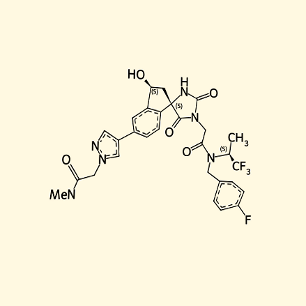 CNC(=O)Cn1cc(-c2ccc3c(c2)[C@@H](O)C[C@]32NC(=O)N(CC(=O)N(Cc3ccc(F)cc3)[C@@H](C)C(F)(F)F)C2=O)cn1